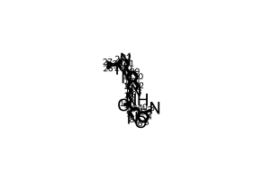 C[C@]1(C#N)CCOc2ncc(C(=O)NCc3cc4nc(-c5cncc(C6CC6)n5)ccc4cn3)cc21